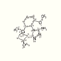 COc1cccc(OC)c1-n1c(N)nnc1[C@H]1CC[C@@H]1C